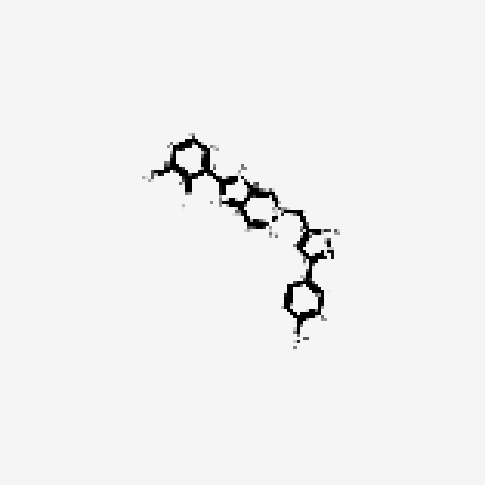 Oc1ccc(-c2cc(Cn3cc4nc(-c5cccc(F)c5F)nc-4cn3)on2)cc1